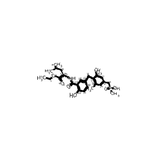 CCOC(=O)[C@@H](CC(C)C)NC(=O)c1cc(Cc2c(C)cc(CP(C)(=O)O)cc2C)ccc1O